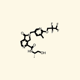 Cc1cc(CN2Cc3c(ccnc3C(=O)N[C@@H](C)CO)C2=O)cnc1OCC(F)(F)C(F)F